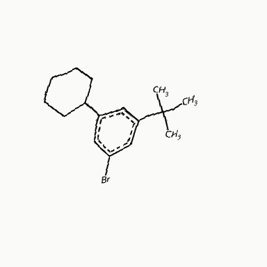 CC(C)(C)c1cc(Br)cc(C2CCCCC2)c1